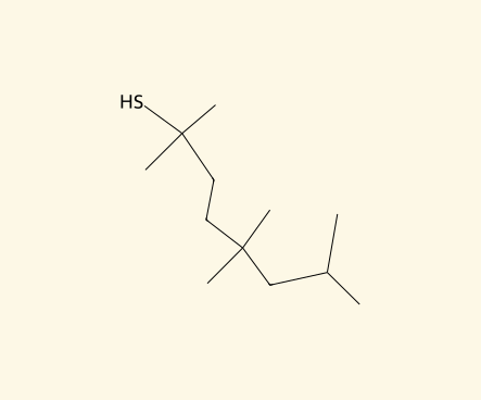 CC(C)CC(C)(C)CCC(C)(C)S